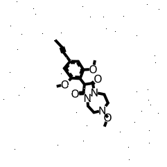 CC#Cc1cc(OC)c(C2C(=O)N3CCN(OC)CCN3C2=O)c(OC)c1